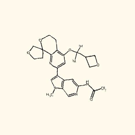 [2H]C([2H])(Oc1cc(-c2cn(C)c3cnc(NC(C)=O)cc23)nc2c1CCOC21CCOC1)C1COC1